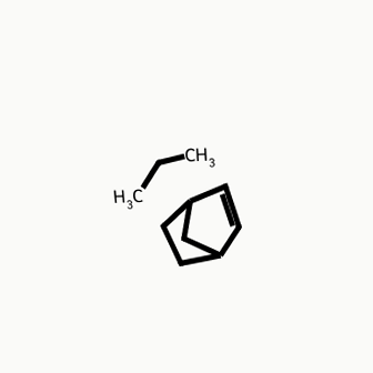 C1=CC2CCC1C2.CCC